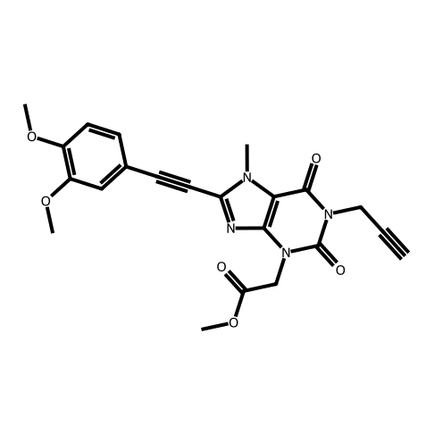 C#CCn1c(=O)c2c(nc(C#Cc3ccc(OC)c(OC)c3)n2C)n(CC(=O)OC)c1=O